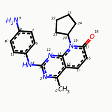 Cc1nc(Nc2ccc(N)cc2)nc2c1ccc(=O)n2C1CCCC1